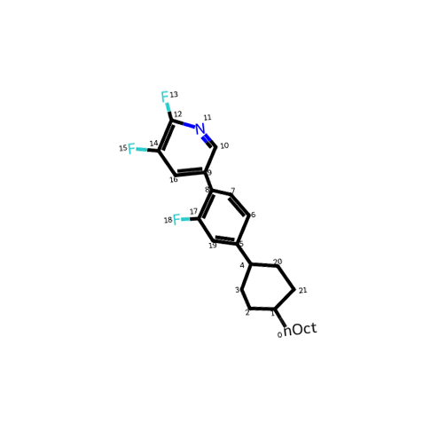 CCCCCCCCC1CCC(c2ccc(-c3cnc(F)c(F)c3)c(F)c2)CC1